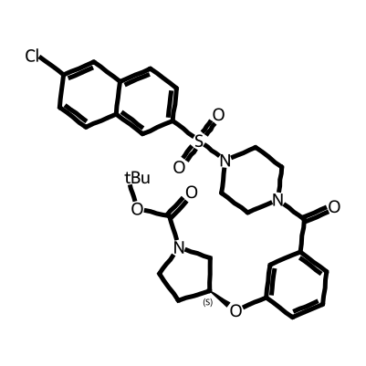 CC(C)(C)OC(=O)N1CC[C@H](Oc2cccc(C(=O)N3CCN(S(=O)(=O)c4ccc5cc(Cl)ccc5c4)CC3)c2)C1